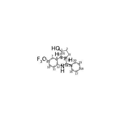 O[C@H]1CC[C@@H]2[C@H]1c1cc(C(F)(F)F)ccc1N[C@@H]2c1ccccc1